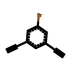 C#Cc1cc(Br)cc(C#C)c1